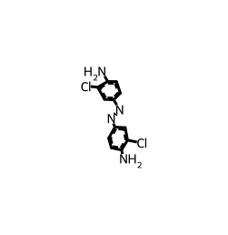 Nc1ccc(N=Nc2ccc(N)c(Cl)c2)cc1Cl